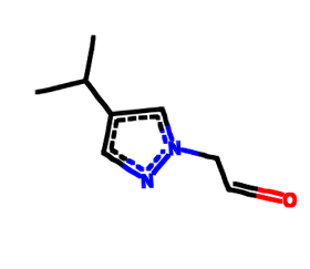 CC(C)c1cnn(CC=O)c1